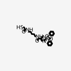 O=C(CS)NCCCCCNC(=O)c1cnc(N(c2ccccc2)S(=O)(=O)c2ccccc2)nc1